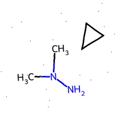 C1CC1.CN(C)N